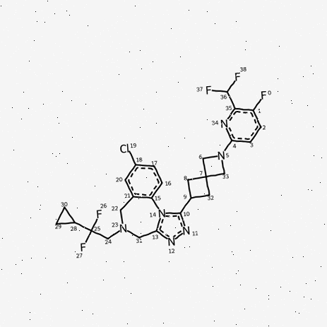 Fc1ccc(N2CC3(CC(c4nnc5n4-c4ccc(Cl)cc4CN(CC(F)(F)C4CC4)C5)C3)C2)nc1C(F)F